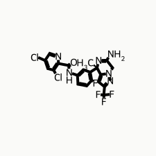 C[C@@]1(c2cc(NC(=O)c3ncc(Cl)cc3Cl)ccc2F)N=C(N)Cn2nc(C(F)(F)F)cc21